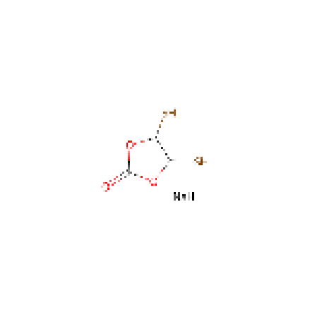 O=C1OC(S)C(S)O1.[NaH]